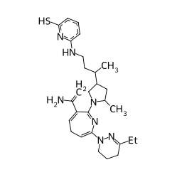 C=C(N)C1=CCC=C(N2CCCC(CC)=N2)N=C1N1CC(C(C)CCNc2cccc(S)n2)CC1C